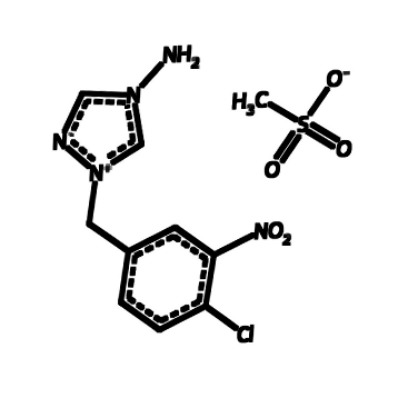 CS(=O)(=O)[O-].Nn1cn[n+](Cc2ccc(Cl)c([N+](=O)[O-])c2)c1